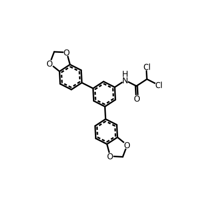 O=C(Nc1cc(-c2ccc3c(c2)OCO3)cc(-c2ccc3c(c2)OCO3)c1)C(Cl)Cl